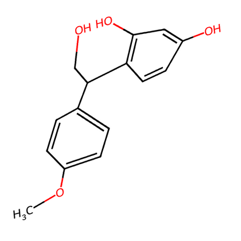 COc1ccc(C(CO)c2ccc(O)cc2O)cc1